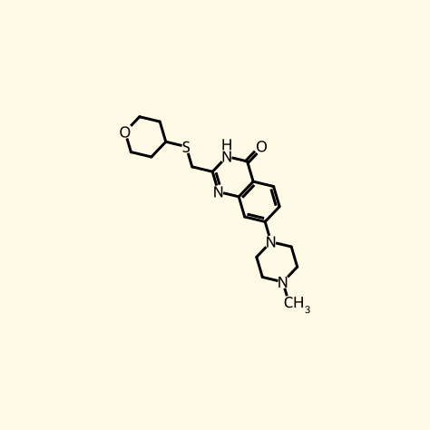 CN1CCN(c2ccc3c(=O)[nH]c(CSC4CCOCC4)nc3c2)CC1